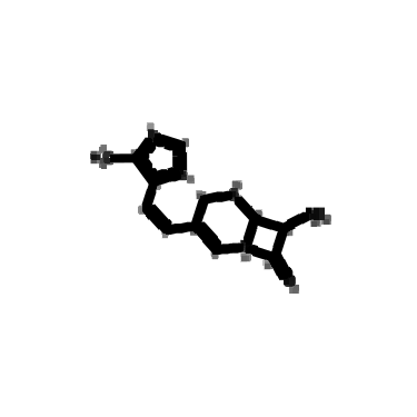 Cc1ncsc1/C=C\C1=CN2C(=O)C(N)C2SC1